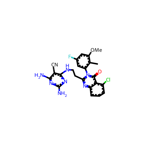 COc1cc(F)cc(-n2c(CCNc3nc(N)nc(N)c3C#N)nc3cccc(Cl)c3c2=O)c1C